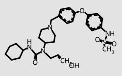 C=CCN(C(=O)NC1CCCCC1)C1CCN(Cc2ccc(Oc3ccc(NS(C)(=O)=O)cc3)cc2)CC1.Cl